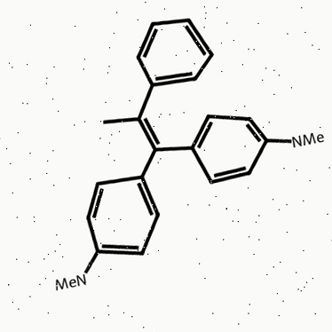 CNc1ccc(C(=C(C)c2ccccc2)c2ccc(NC)cc2)cc1